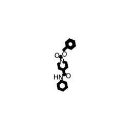 O=C(NC1CCCCC1)C1CCN(C(=O)OCc2ccccc2)CC1